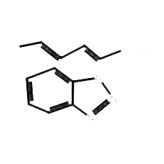 C/C=C/C=C/C(=O)O.c1ccc2[nH]nnc2c1